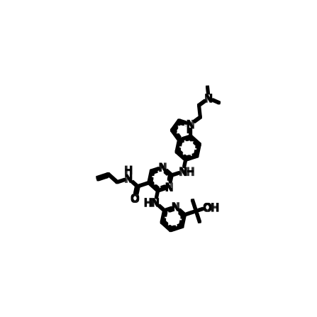 C=CCNC(=O)c1cnc(Nc2ccc3c(ccn3CCN(C)C)c2)nc1Nc1cccc(C(C)(C)O)n1